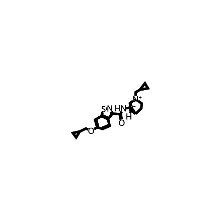 O=C(N[C@@H]1C[N+]2(CC3CC3)CCC1CC2)c1nsc2cc(OCC3CC3)ccc12